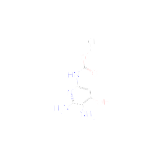 CCOC(=O)Nc1cc(O)c(N)c(N)n1